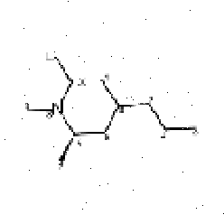 CCCC(C)C[C@@H](C)N(C)CC